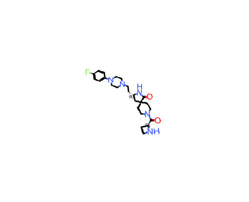 O=C([C@@H]1CCN1)N1CCC2(CC1)C[C@H](CCN1CCN(c3ccc(F)cc3)CC1)NC2=O